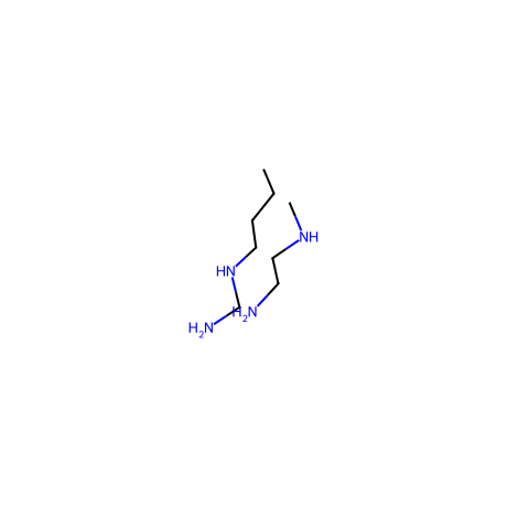 CCCCNCN.CNCCN